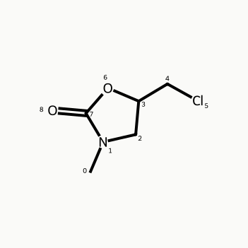 CN1CC(CCl)OC1=O